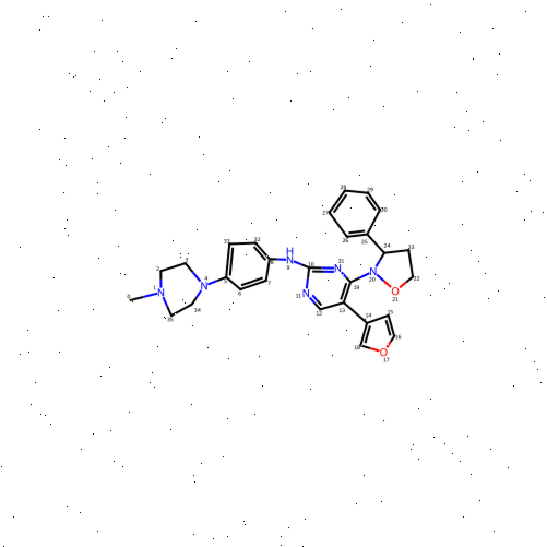 CN1CCN(c2ccc(Nc3ncc(-c4ccoc4)c(N4OCCC4c4ccccc4)n3)cc2)CC1